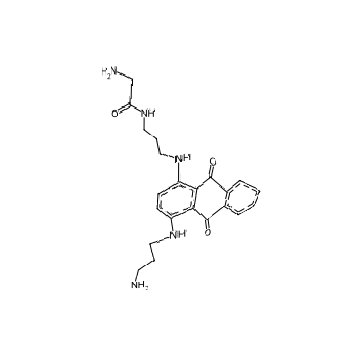 NCCCNc1ccc(NCCCNC(=O)CN)c2c1C(=O)c1ccccc1C2=O